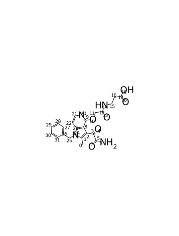 Cc1c(C(=O)C(N)=O)c2c(OCC(=O)NCCC(=O)O)nccc2n1Cc1ccccc1